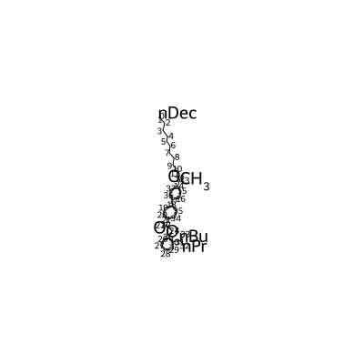 CCCCCCCCCCCCCCCCCCCCOC(C)c1ccc(-c2ccc(C(=O)Oc3ccccc3C(CCC)CCCC)cc2)cc1